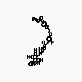 CC(C)OC(=O)N1CCC2(CC1)CC(CCOc1ccc(CC(=O)N3CC(CNCC(O)C(O)C(O)C(O)CO)C3)c(F)c1)C2